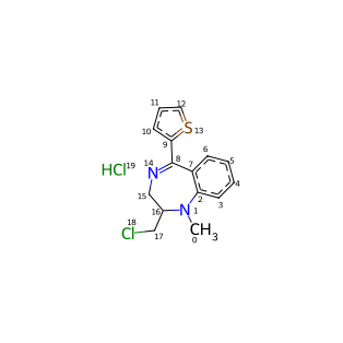 CN1c2ccccc2C(c2cccs2)=NCC1CCl.Cl